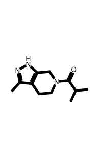 Cc1n[nH]c2c1CCN(C(=O)C(C)C)C2